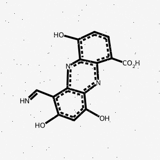 N=Cc1c(O)cc(O)c2nc3c(C(=O)O)ccc(O)c3nc12